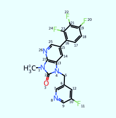 Cn1c(=O)n(Cc2cncc(F)c2)c2cc(-c3ccc(F)c(F)c3F)cnc21